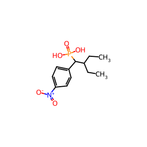 CCC(CC)C(c1ccc([N+](=O)[O-])cc1)P(=O)(O)O